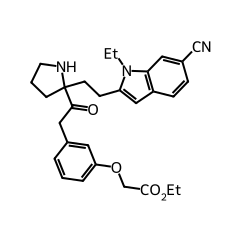 CCOC(=O)COc1cccc(CC(=O)C2(CCc3cc4ccc(C#N)cc4n3CC)CCCN2)c1